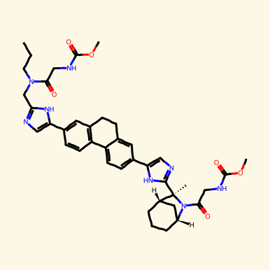 CCCN(Cc1ncc(-c2ccc3c(c2)CCc2cc(-c4cnc([C@]5(C)[C@H]6CCC[C@H](C6)N5C(=O)CNC(=O)OC)[nH]4)ccc2-3)[nH]1)C(=O)CNC(=O)OC